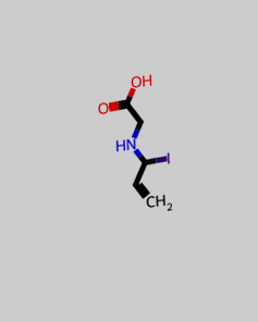 C=CC(I)NCC(=O)O